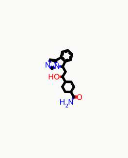 NC(=O)C1CCC(C(O)CC2c3ccccc3-c3cncn32)CC1